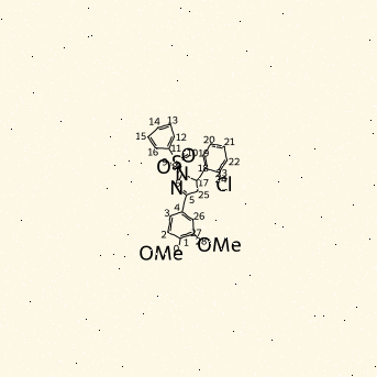 COc1ccc(C2=NN(S(=O)(=O)c3ccccc3)C(c3ccccc3Cl)C2)cc1OC